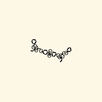 C=CC(=O)OC(COc1ccccc1)COc1ccc(S(=O)(=O)c2ccc(OCC(COc3ccccc3)OC(=O)C=C)cc2)cc1